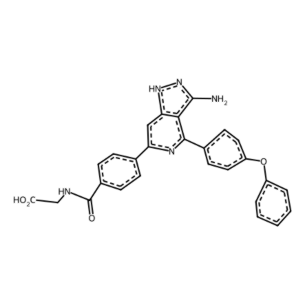 Nc1n[nH]c2cc(-c3ccc(C(=O)NCC(=O)O)cc3)nc(-c3ccc(Oc4ccccc4)cc3)c12